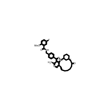 COc1ccc(F)cc1C(=O)NCc1ccc(-c2nn3c4c(cnc(N)c24)/C=C/CCCCC(=O)C[C@@H]2CCC[C@@H]3C2)cc1